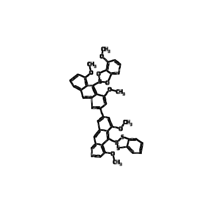 COc1cccc2c1OB(c1c3c(OC)cccc3cc3cc(-c4cc(OC)c5c(B6Sc7ccccc7S6)c6c(OC)cccc6cc5c4)cc(OC)c13)O2